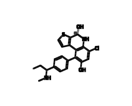 CCC(NC)c1ccc(-c2c(O)cc(Cl)c3c2-c2ccsc2[C@H](O)N3)cc1